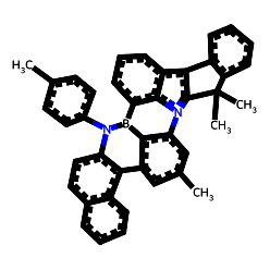 Cc1ccc(N2B3c4c(cc(C)cc4-n4c5c(c6cccc3c64)-c3ccccc3C5(C)C)-c3c2ccc2ccccc32)cc1